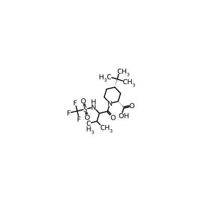 CC(C)C(NS(=O)(=O)C(F)(F)F)C(=O)N1CC[C@H](C(C)(C)C)C[C@@H]1C(=O)O